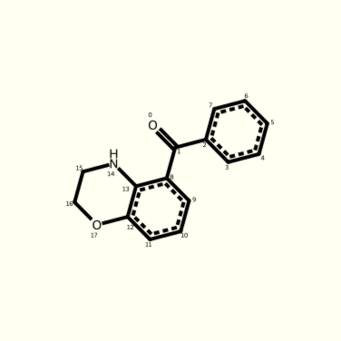 O=C(c1ccccc1)c1cccc2c1NCCO2